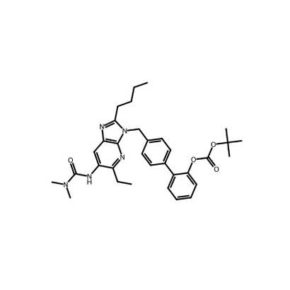 CCCCc1nc2cc(NC(=O)N(C)C)c(CC)nc2n1Cc1ccc(-c2ccccc2OC(=O)OC(C)(C)C)cc1